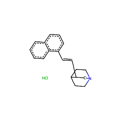 C(=C\C1CN2CCC1CC2)/c1cccc2ccccc12.Cl